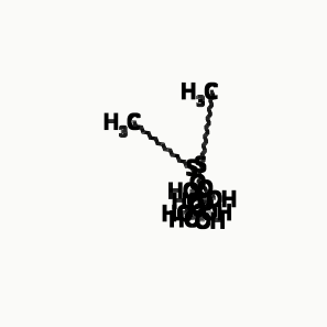 CCCCCCCCCCCCCCCCSCC(CO[C@@H]1O[C@H](CO)[C@@H](O[C@@H]2O[C@H](CO)[C@H](O)[C@H](O)[C@H]2O)[C@H](O)[C@H]1O)CSCCCCCCCCCCCCCCCC